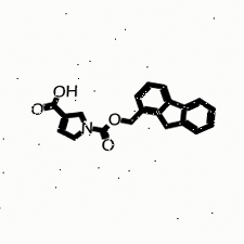 O=C(O)C1=CCN(C(=O)OCc2cccc3c2Cc2ccccc2-3)C1